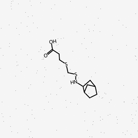 O=C(O)CCSCSNC1CC2CCC1C2